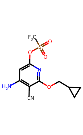 N#Cc1c(N)cc(OS(=O)(=O)C(F)(F)F)nc1OCC1CC1